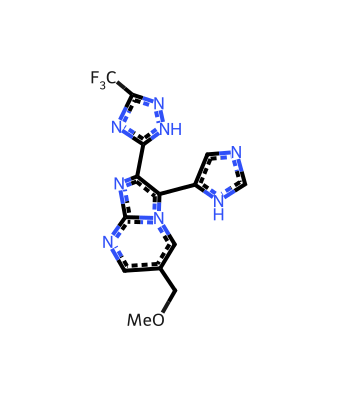 COCc1cnc2nc(-c3nc(C(F)(F)F)n[nH]3)c(-c3cnc[nH]3)n2c1